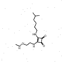 CNOCCNc1c(NCCCCC(C)C)c(=O)c1=O